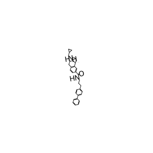 C[C@@H]1[C@H]2Cc3ccc(C(=O)NCCCc4ccc(-c5ccccc5)cc4)cc3[C@]1(C)CCN2CC1CC1